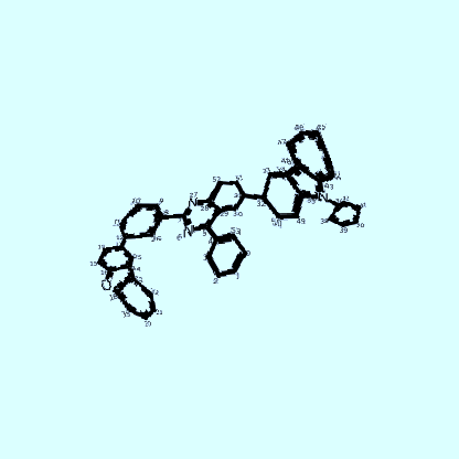 C1=CCCC(c2nc(-c3cccc(-c4ccc5oc6ccccc6c5c4)c3)nc3c2=CC(C2C=c4c(n(-c5ccccc5)c5ccccc45)=CC2)CC=3)=C1